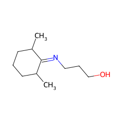 CC1CCCC(C)C1=NCCCO